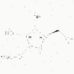 COOC1O[C@H](CO)[C@@H](O)[C@H]1O